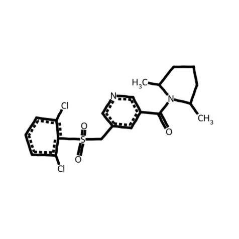 CC1CCCC(C)N1C(=O)c1cncc(CS(=O)(=O)c2c(Cl)cccc2Cl)c1